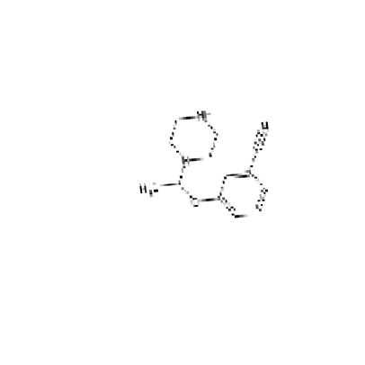 CC(Oc1cccc(C#N)c1)N1CCNCC1